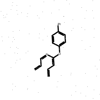 C=C/C=N\C(=C/C=C)Oc1ccc(C(C)C)cc1